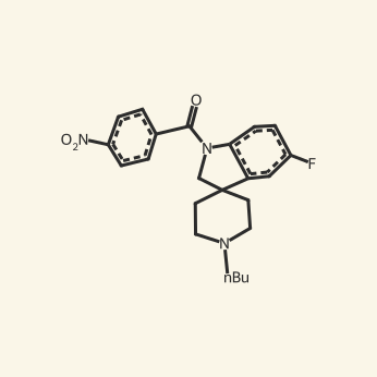 CCCCN1CCC2(CC1)CN(C(=O)c1ccc([N+](=O)[O-])cc1)c1ccc(F)cc12